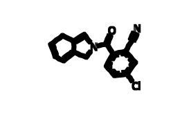 N#Cc1cc(Cl)ccc1C(=O)N1C=C2CC=CC=C2C1